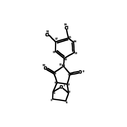 O=C1C2C3CCC(O3)C2C(=O)N1c1ccc(Cl)c(Cl)c1